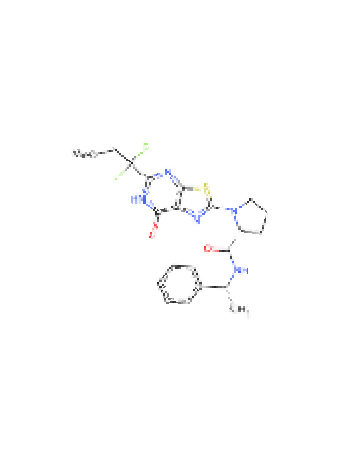 COCC(F)(F)c1nc2sc(N3CCC[C@@H]3C(=O)N[C@H](C)c3ccccc3)nc2c(=O)[nH]1